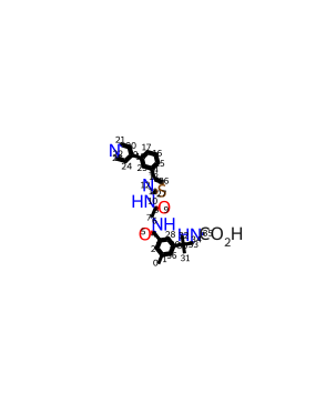 Cc1cc(C(=O)NCC(=O)Nc2nc(-c3cccc(-c4ccncc4)c3)cs2)cc(C(C)(C)CNC(=O)O)c1